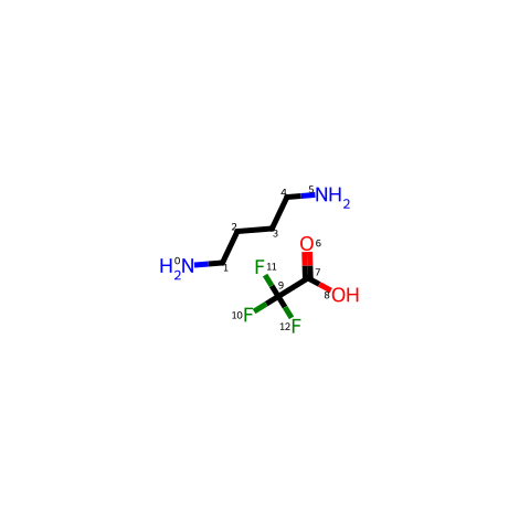 NCCCCN.O=C(O)C(F)(F)F